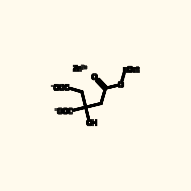 CCCCCCCCOC(=O)CC(O)(CC(=O)[O-])C(=O)[O-].[Zn+2]